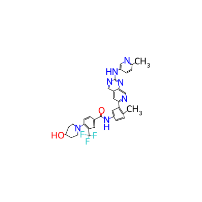 Cc1ccc(Nc2ncc3cc(-c4cc(NC(=O)c5ccc(N6CCC(O)CC6)c(C(F)(F)F)c5)ccc4C)ncc3n2)cn1